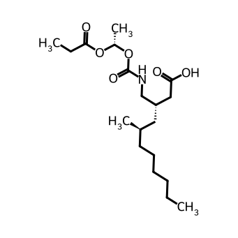 CCCCCC[C@@H](C)C[C@H](CNC(=O)O[C@@H](C)OC(=O)CC)CC(=O)O